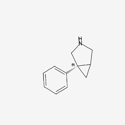 c1ccc([C@]23CNCC2C3)cc1